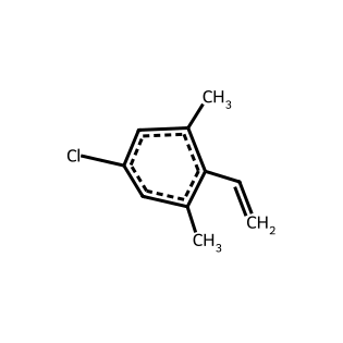 C=Cc1c(C)cc(Cl)cc1C